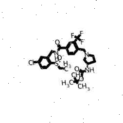 CC[S+]([O-])c1ccc(Cl)cc1CNC(=O)c1ccc(CN2CC[C@@H](NC(=O)OC(C)(C)C)C2)c(C(F)(F)F)c1